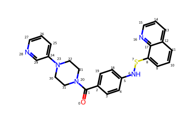 O=C(c1ccc(NSc2cccc3cccnc23)cc1)N1CCN(c2cccnc2)CC1